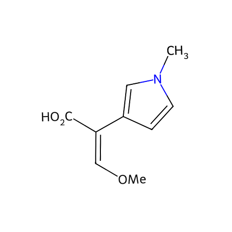 CO/C=C(/C(=O)O)c1ccn(C)c1